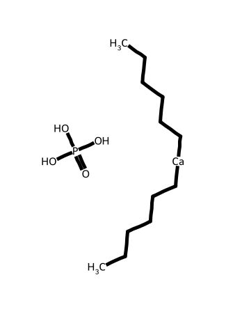 CCCCC[CH2][Ca][CH2]CCCCC.O=P(O)(O)O